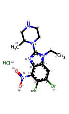 CCn1c(N2CCNCC2C)nc2c([N+](=O)[O-])c(Br)c(Br)cc21.Cl